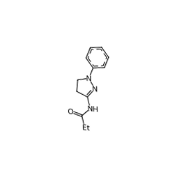 CCC(=O)NC1=NN(c2ccccc2)CC1